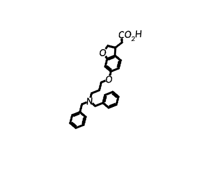 O=C(O)CC1COc2cc(OCCCN(Cc3ccccc3)Cc3ccccc3)ccc21